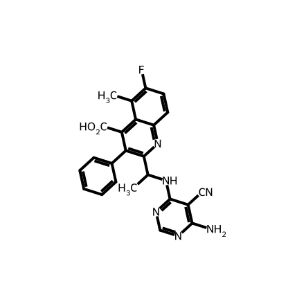 Cc1c(F)ccc2nc(C(C)Nc3ncnc(N)c3C#N)c(-c3ccccc3)c(C(=O)O)c12